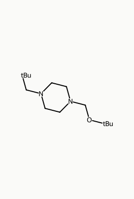 CC(C)(C)CN1CCN(COC(C)(C)C)CC1